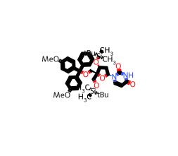 COc1ccc(C(OC[C@]2(CO[Si](C)(C)C(C)(C)C)O[C@@H](n3ccc(=O)[nH]c3=O)C[C@@H]2O[Si](C)(C)C(C)(C)C)(c2ccccc2)c2ccc(OC)cc2)cc1